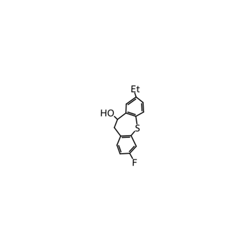 CCc1ccc2c(c1)C(O)Cc1ccc(F)cc1S2